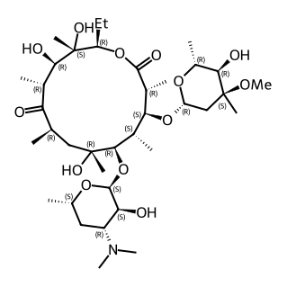 CC[C@H]1OC(=O)[C@H](C)[C@@H](O[C@H]2C[C@](C)(OC)[C@H](O)[C@@H](C)O2)[C@H](C)[C@@H](O[C@@H]2O[C@@H](C)C[C@@H](N(C)C)[C@@H]2O)[C@](C)(O)C[C@@H](C)C(=O)[C@H](C)[C@@H](O)[C@]1(C)O